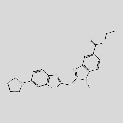 CCOC(=O)c1ccc2c(c1)nc(Nc1nc3ccc(N4CCCC4)cc3o1)n2C